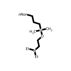 CCCCCCCCCCCC[Si](C)(C)OCCN(CC)CC